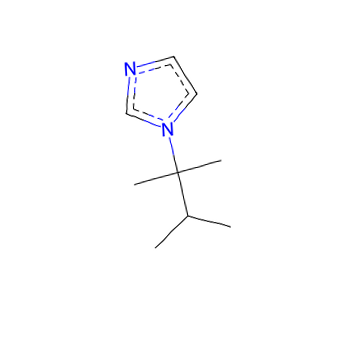 CC(C)C(C)(C)n1ccnc1